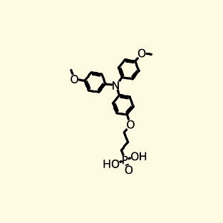 COc1ccc(N(c2ccc(OC)cc2)c2ccc(OCCCP(=O)(O)O)cc2)cc1